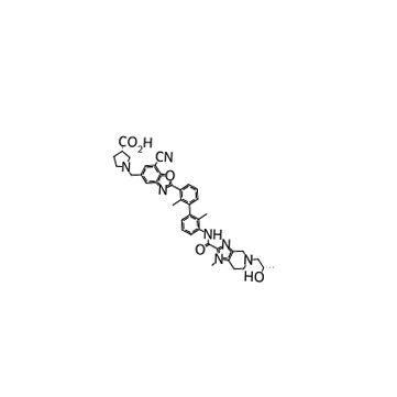 Cc1c(NC(=O)c2nc3c(n2C)CCN(C[C@H](C)O)C3)cccc1-c1cccc(-c2nc3cc(CN4CC[C@H](C(=O)O)C4)cc(C#N)c3o2)c1C